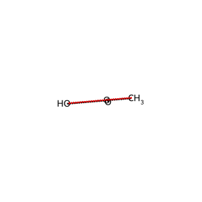 CCCCCCCCC=CCCCCCCCCCCCC(=O)OCCCCCCCCCCCCCCCCCCCCCCCCCCCCCCCCCCCO